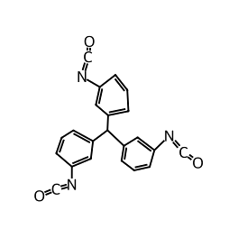 O=C=Nc1cccc(C(c2cccc(N=C=O)c2)c2cccc(N=C=O)c2)c1